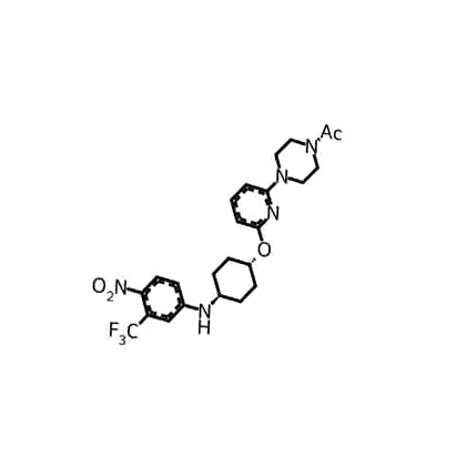 CC(=O)N1CCN(c2cccc(O[C@H]3CC[C@H](Nc4ccc([N+](=O)[O-])c(C(F)(F)F)c4)CC3)n2)CC1